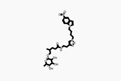 CC(CCC(=O)NCCc1cn(CCCCn2ccc3cc([N+](=O)[O-])ccc32)nn1)CO[C@@H]1OC(C)[C@@H](O)C(O)C1O